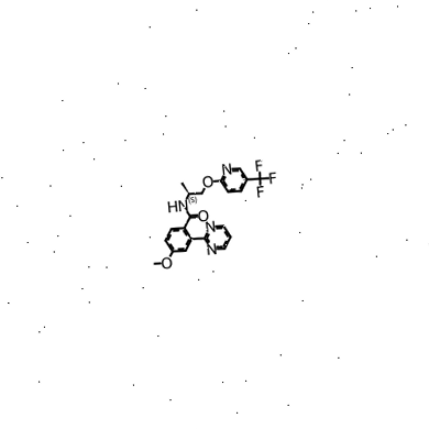 COc1ccc(C(=O)N[C@@H](C)COc2ccc(C(F)(F)F)cn2)c(-c2ncccn2)c1